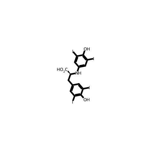 O=C(O)[C@H](Cc1cc(I)c(O)c(I)c1)Nc1cc(I)c(O)c(I)c1